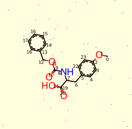 COc1ccc(CC(NC(=O)OCc2ccccc2)C(=O)O)cc1